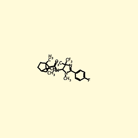 CN1C(c2ccc(F)cc2)=NC(C(F)(F)F)(C(F)(F)F)C1NC(=O)C1CC2CCC1(C)C2(C)C